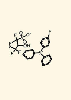 Fc1ccc([S+](c2ccccc2)c2ccccc2)cc1.O=S(=O)([O-])C(F)(F)C(O)C(F)(F)F